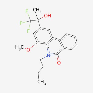 CCCCn1c(=O)c2ccccc2c2cc(C(C)(O)C(F)(F)F)cc(OC)c21